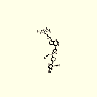 C[Si](C)(C)CCOCn1ccc2c(-c3cnn([C@@H](CC#N)[C@H]4CCN(c5ncc(Br)nc5C#N)C4)c3)ncnc21